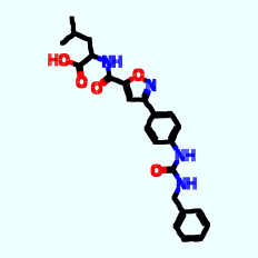 CC(C)CC(NC(=O)c1cc(-c2ccc(NC(=O)NCc3ccccc3)cc2)no1)C(=O)O